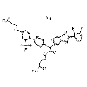 CCCOc1ccc(-c2ccc(C(C(=O)OCCC(=O)O)n3cc4nc(-c5cccc(F)c5F)nc-4cn3)cn2)c(C(F)(F)F)c1.[Na]